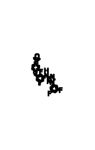 Cc1cc(CN2CCN(C3COC3)CC2)c(F)c(Nc2ncn(-c3cc(F)cc(F)c3)n2)c1